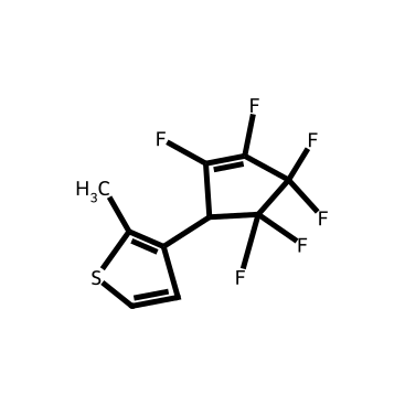 Cc1sccc1C1C(F)=C(F)C(F)(F)C1(F)F